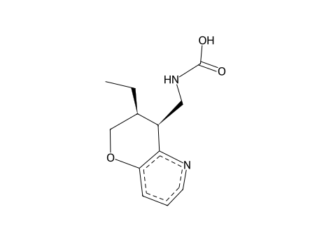 CC[C@@H]1COc2cccnc2[C@@H]1CNC(=O)O